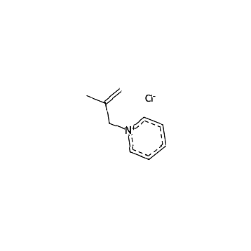 C=C(C)C[n+]1ccccc1.[Cl-]